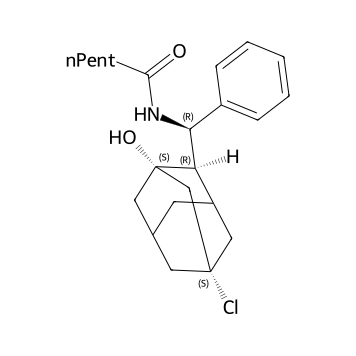 CCCCCC(=O)N[C@@H](c1ccccc1)[C@H]1C2CC3C[C@](Cl)(C2)C[C@@]1(O)C3